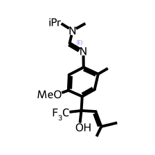 COc1cc(/N=C/N(C)C(C)C)c(C)cc1C(O)(C=C(C)C)C(F)(F)F